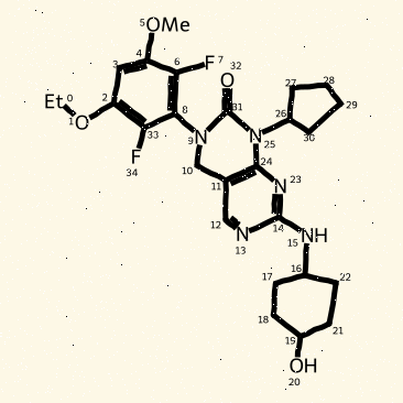 CCOc1cc(OC)c(F)c(N2Cc3cnc(NC4CCC(O)CC4)nc3N(C3CCCC3)C2=O)c1F